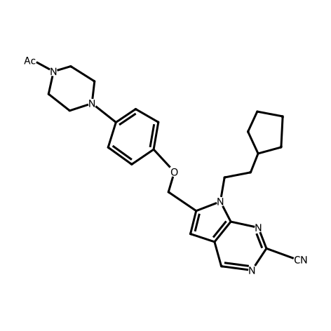 CC(=O)N1CCN(c2ccc(OCc3cc4cnc(C#N)nc4n3CCC3CCCC3)cc2)CC1